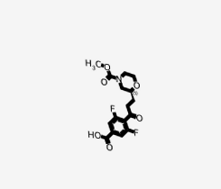 COC(=O)N1CCO[C@@H](CCC(=O)c2c(F)cc(C(=O)O)cc2F)C1